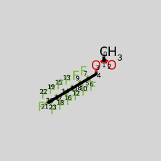 CC(=O)OCC(F)(F)C(F)(F)C(F)(F)C(F)(F)C(F)(F)C(F)(F)F